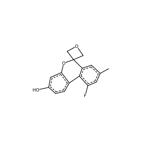 Cc1cc(F)c2c(c1)C1(COC1)Oc1cc(O)ccc1-2